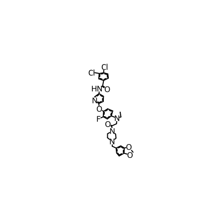 CCN(CC(=O)N1CCN(Cc2ccc3c(c2)OCO3)CC1)c1ccc(Oc2ccc(NC(=O)c3ccc(Cl)c(Cl)c3)cn2)c(F)c1